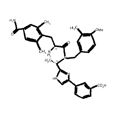 COc1ccc(CN(C(=O)[C@@H](N)Cc2c(C)cc(C(N)=O)cc2C)[C@@H](C)c2nc(-c3cccc(C(=O)O)c3)c[nH]2)cc1C